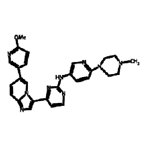 COc1ccc(-c2ccc3ncc(-c4ccnc(Nc5ccc(N6CCN(C)CC6)nc5)n4)n3c2)cn1